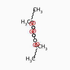 CCCCCCCC[C@@H]1CO[C@@H](c2ccc(OC(=O)c3ccc(C4CCC([C@@H]5OC[C@@H](CCCCCCCC)[C@H](C)O5)CC4)cc3)cc2)OC1C